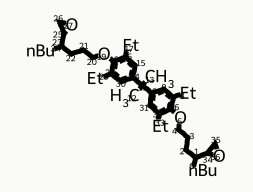 CCCCC(CCCOc1c(CC)cc(C(C)(C)c2cc(CC)c(OCCCC(CCCC)C3CO3)c(CC)c2)cc1CC)C1CO1